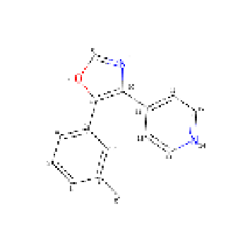 Cc1cccc(-c2ocnc2-c2ccncc2)c1